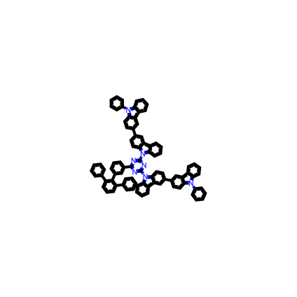 c1ccc(-c2cccc(-c3ccccc3)c2-c2cccc(-c3nc(-n4c5ccccc5c5cc(-c6ccc7c(c6)c6ccccc6n7-c6ccccc6)ccc54)nc(-n4c5ccccc5c5cc(-c6ccc7c(c6)c6ccccc6n7-c6ccccc6)ccc54)n3)c2)cc1